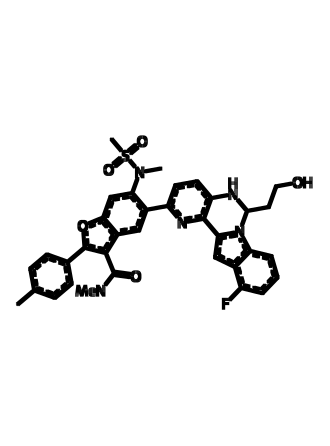 CNC(=O)c1c(-c2ccc(C)cc2)oc2cc(N(C)S(C)(=O)=O)c(-c3ccc4c(n3)-c3cc5c(F)cccc5n3C(CCO)N4)cc12